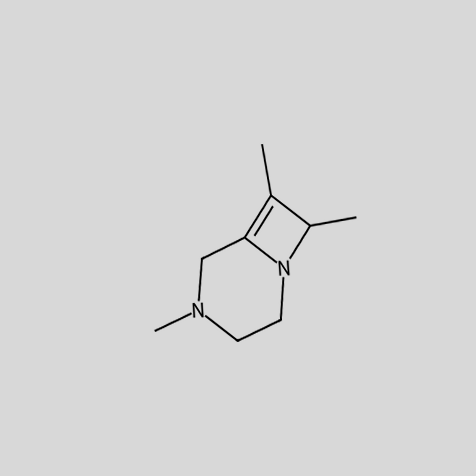 CC1=C2CN(C)CCN2C1C